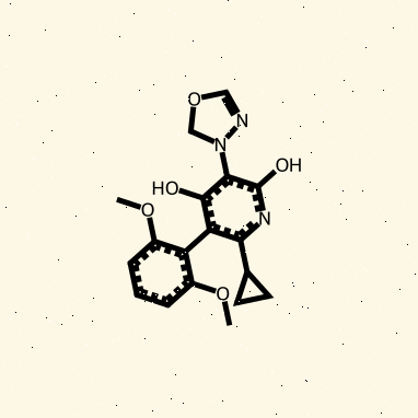 COc1cccc(OC)c1-c1c(C2CC2)nc(O)c(N2COC=N2)c1O